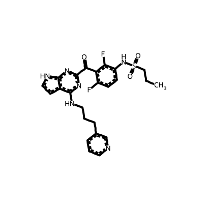 CCCS(=O)(=O)Nc1ccc(F)c(C(=O)c2nc(NCCCc3cccnc3)c3cc[nH]c3n2)c1F